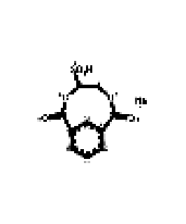 O=C1OCC(S(=O)(=O)O)OC(=O)c2cccc1c2.[Na]